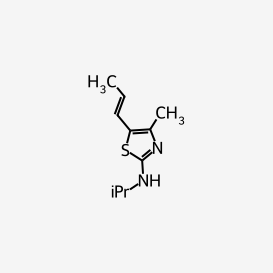 CC=Cc1sc(NC(C)C)nc1C